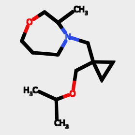 CC(C)OCC1(CN2CCCOCC2C)CC1